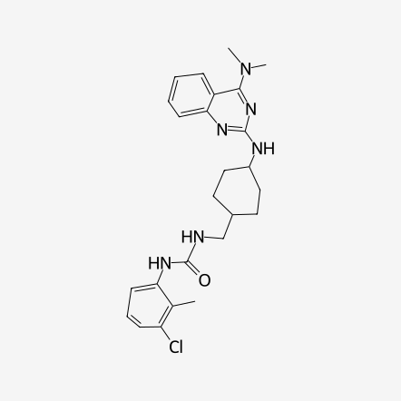 Cc1c(Cl)cccc1NC(=O)NCC1CCC(Nc2nc(N(C)C)c3ccccc3n2)CC1